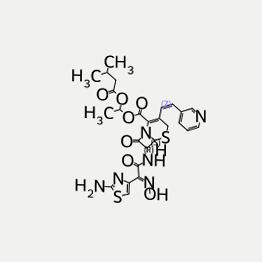 CC(C)CC(=O)OC(C)OC(=O)C1=C(/C=C\c2cccnc2)CS[C@H]2[C@H](NC(=O)C(=NO)c3csc(N)n3)C(=O)N12